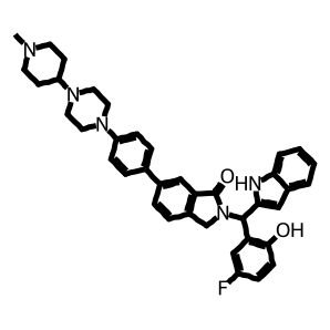 CN1CCC(N2CCN(c3ccc(-c4ccc5c(c4)C(=O)N(C(c4cc6ccccc6[nH]4)c4cc(F)ccc4O)C5)cc3)CC2)CC1